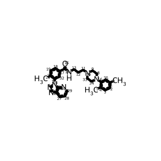 Cc1ccc(C)c(N2CCN(CCCNC(=O)c3ccc(C)c(-n4nnc5cccnc54)c3)CC2)c1